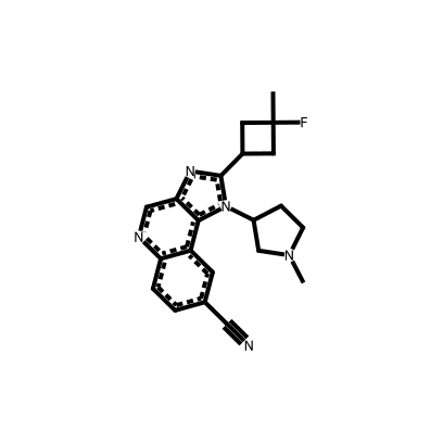 CN1CCC(n2c(C3CC(C)(F)C3)nc3cnc4ccc(C#N)cc4c32)C1